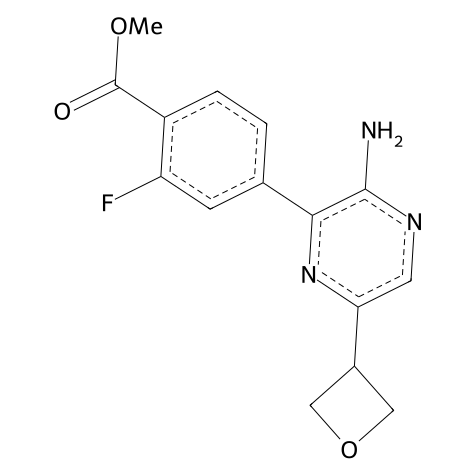 COC(=O)c1ccc(-c2nc(C3COC3)cnc2N)cc1F